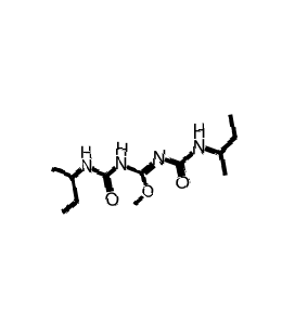 CCC(C)NC(=O)N=C(NC(=O)NC(C)CC)OC